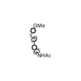 COc1ccc(Sc2ncc(-c3ccc4nc(NC(C)=O)sc4c3)s2)cc1